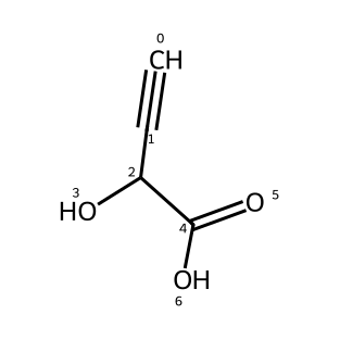 C#CC(O)C(=O)O